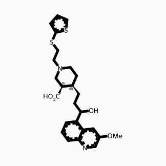 COc1cnc2cccc(C(O)CC[C@@H]3CCN(CCSc4cccs4)C[C@@H]3C(=O)O)c2c1